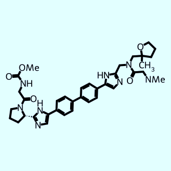 CNCC(=O)N(Cc1ncc(-c2ccc(-c3ccc(-c4cnc([C@@H]5CCCN5C(=O)CNC(=O)OC)[nH]4)cc3)cc2)[nH]1)CC1(C)CCCO1